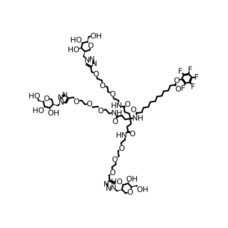 O=C(CCC(CCC(=O)NCCOCCOCCOCc1cn(C[C@@H]2CO[C@H](CO)[C@H](O)[C@@H]2O)nn1)(CCC(=O)NCCOCCOCCOCc1cn(C[C@@H]2CO[C@H](CO)[C@H](O)[C@@H]2O)nn1)NC(=O)CCCCCCCCCCC(=O)Oc1c(F)c(F)c(F)c(F)c1F)NCCOCCOCCOCc1cn(C[C@@H]2CO[C@H](CO)[C@H](O)[C@@H]2O)nn1